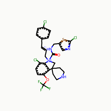 O=C(NCc1cnc(Cl)s1)[N+]1(C/C=C/c2ccc(Cl)cc2)CC2(CCNCC2)c2c(OC(F)(F)F)ccc(Cl)c21